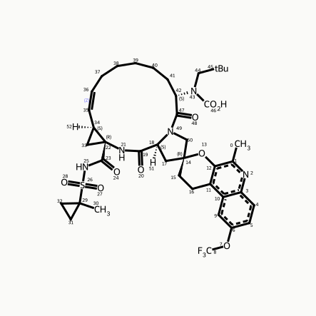 Cc1nc2ccc(OC(F)(F)F)cc2c2c1O[C@]1(CC2)C[C@H]2C(=O)N[C@]3(C(=O)NS(=O)(=O)C4(C)CC4)C[C@H]3/C=C\CCCCC[C@H](N(CC(C)(C)C)C(=O)O)C(=O)N2C1